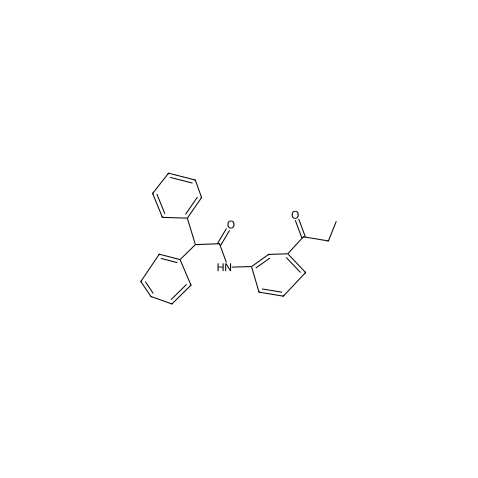 CCC(=O)c1cccc(NC(=O)C(c2ccccc2)c2ccccc2)c1